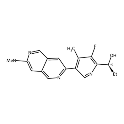 CC[C@H](O)c1ncc(-c2cc3cnc(NC)cc3cn2)c(C)c1F